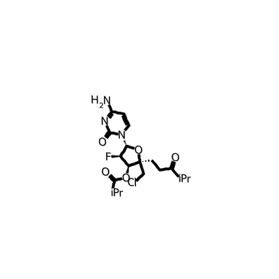 CC(C)C(=O)CC[C@@]1(CCl)O[C@@H](n2ccc(N)nc2=O)[C@H](F)[C@@H]1OC(=O)C(C)C